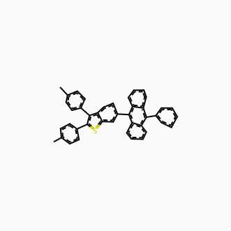 Cc1ccc(-c2sc3cc(-c4c5ccccc5c(-c5ccccc5)c5ccccc45)ccc3c2-c2ccc(C)cc2)cc1